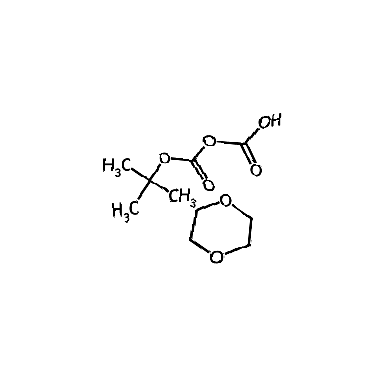 C1COCCO1.CC(C)(C)OC(=O)OC(=O)O